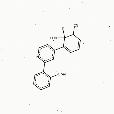 COc1ccccc1-c1cc(C2=CC=CC(C#N)C2(N)F)ccn1